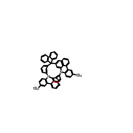 Cc1cc2c(Br)c(c1)N(c1ccc(C(C)(C)C)cc1-c1ccccc1)c1cccc(c1)C(c1ccccc1)(c1ccccc1)c1cccc(c1)N2c1ccc(C(C)(C)C)cc1-c1ccccc1